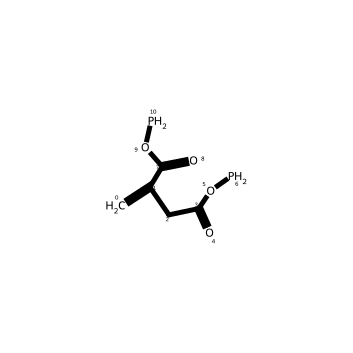 C=C(CC(=O)OP)C(=O)OP